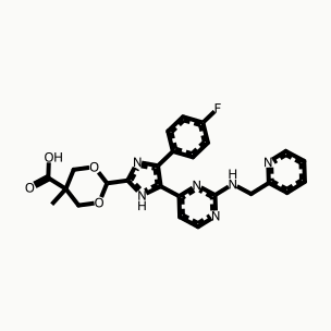 CC1(C(=O)O)COC(c2nc(-c3ccc(F)cc3)c(-c3ccnc(NCc4ccccn4)n3)[nH]2)OC1